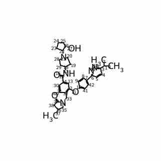 CC(C)c1ccc(-c2ccc(Oc3cc(C(=O)NC4CCN([C@H]5CCC[C@@H]5O)CC4)ccc3CN3C[C@@H](C)CC3=O)cc2)nn1